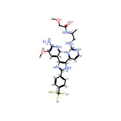 COCC(=O)NC(C)CNc1nccc(-c2[nH]c(-c3ccc(C(F)(F)F)cc3)nc2-c2cnc(N)c(OC)c2)n1